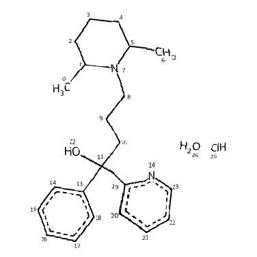 CC1CCCC(C)N1CCCC(O)(c1ccccc1)c1ccccn1.Cl.O